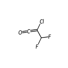 O=C=C(Cl)C(F)F